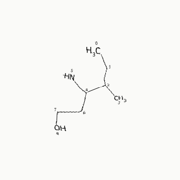 CCC(C)C([NH])CCO